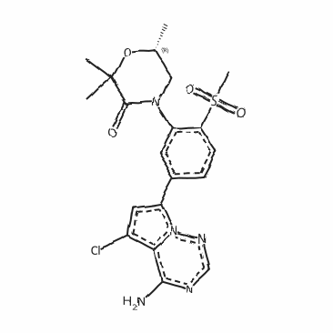 C[C@@H]1CN(c2cc(-c3cc(Cl)c4c(N)ncnn34)ccc2S(C)(=O)=O)C(=O)C(C)(C)O1